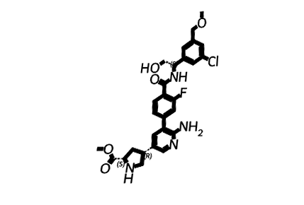 COCc1cc(Cl)cc([C@@H](CO)NC(=O)c2ccc(-c3cc([C@@H]4CN[C@H](C(=O)OC)C4)cnc3N)cc2F)c1